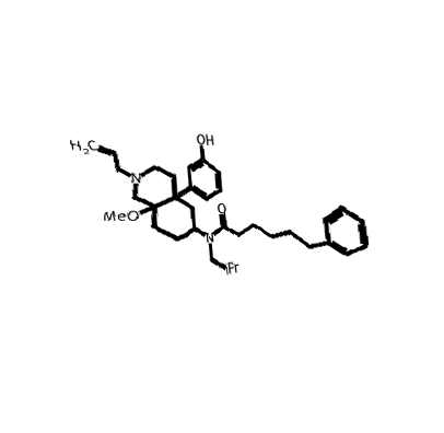 C=CCN1CCC2(c3cccc(O)c3)CC(N(CC(C)C)C(=O)CCCCCc3ccccc3)CCC2(OC)C1